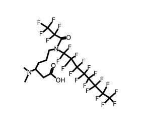 CN(C)C(CCCN(C(=O)C(F)(F)C(F)(F)F)C(F)(F)C(F)(F)C(F)(F)C(F)(F)C(F)(F)C(F)(F)C(F)(F)C(F)(F)F)CC(=O)O